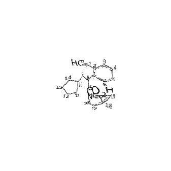 C#Cc1ccccc1C(CC1CCCC1)C(=O)O.c1cc2cc-2n1